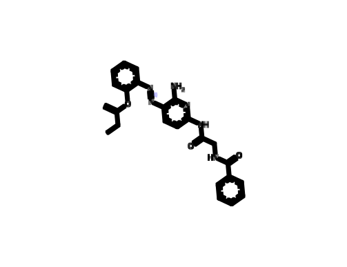 C=C(CC)Oc1ccccc1/N=N/c1ccc(NC(=O)CNC(=O)c2ccccc2)nc1N